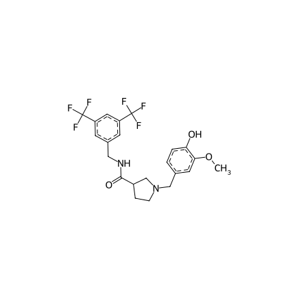 COc1cc(CN2CCC(C(=O)NCc3cc(C(F)(F)F)cc(C(F)(F)F)c3)C2)ccc1O